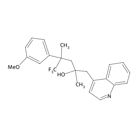 COc1cccc(C(C)(CC(C)(O)Cc2ccnc3ccccc23)C(F)(F)F)c1